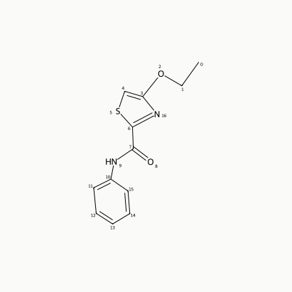 CCOc1csc(C(=O)Nc2ccccc2)n1